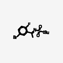 CC(=NS(=O)(=O)C(C)(C)C)c1cc(Br)ccc1F